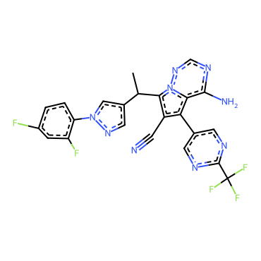 CC(c1cnn(-c2ccc(F)cc2F)c1)c1c(C#N)c(-c2cnc(C(F)(F)F)nc2)c2c(N)ncnn12